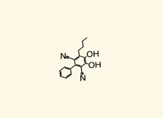 CCCCc1c(O)c(O)c(C#N)c(-c2ccccc2)c1C#N